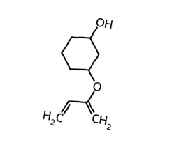 C=CC(=C)OC1CCCC(O)C1